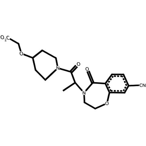 CC(C(=O)N1CCC(OCC(=O)O)CC1)N1CCOc2cc(C#N)ccc2C1=O